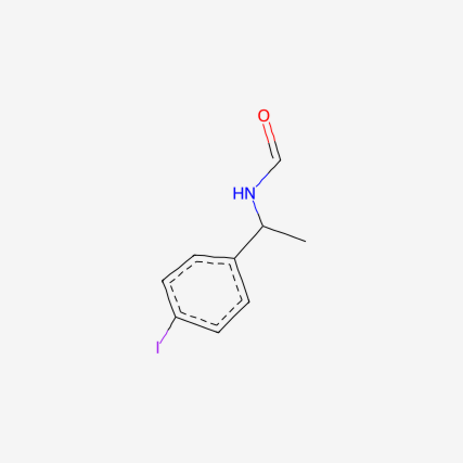 CC(NC=O)c1ccc(I)cc1